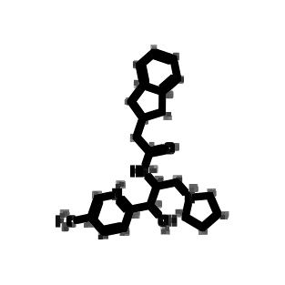 O=C(CC1Cc2ccccc2C1)NC(CN1CCCC1)C(O)c1ccc(C(F)(F)F)cn1